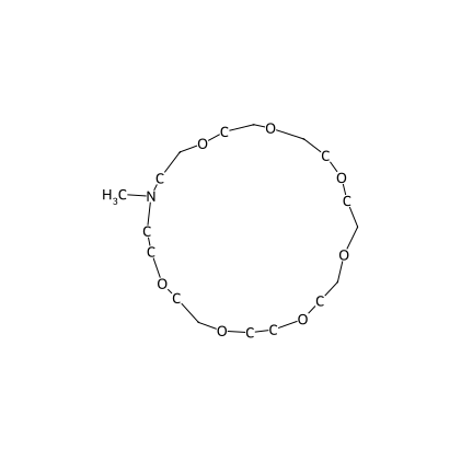 CN1CCOCCOCCOCCOCCOCCOCCOCC1